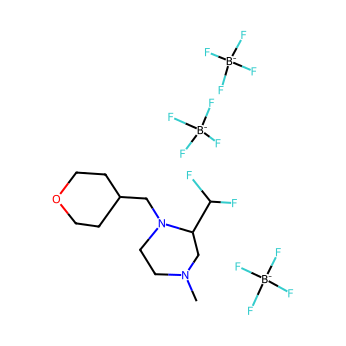 CN1CCN(CC2CCOCC2)C(C(F)F)C1.F[B-](F)(F)F.F[B-](F)(F)F.F[B-](F)(F)F